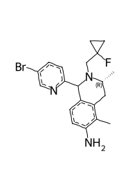 Cc1c(N)ccc2c1C[C@@H](C)N(CC1(F)CC1)C2c1ccc(Br)cn1